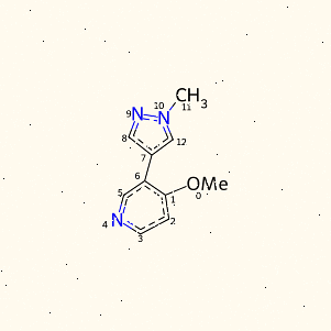 COc1ccncc1-c1cnn(C)c1